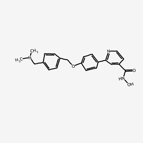 CN(C)Cc1ccc(COc2ccc(-c3cc(C(=O)NO)ccn3)cc2)cc1